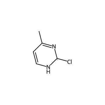 CC1=N[C](Cl)NC=C1